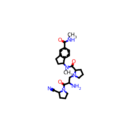 CNC(=O)c1ccc2c(c1)CCC2N(C)C(=O)C1CCCN1CC(N)C(=O)N1CCCC1C#N